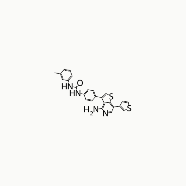 Cc1cccc(NC(=O)Nc2ccc(-c3csc4c(-c5ccsc5)cnc(N)c34)cc2)c1